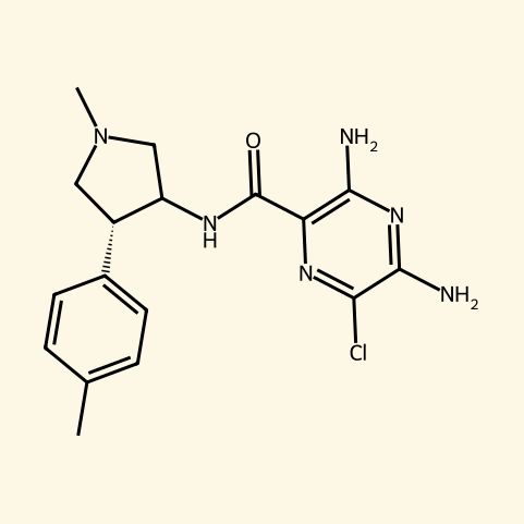 Cc1ccc([C@@H]2CN(C)CC2NC(=O)c2nc(Cl)c(N)nc2N)cc1